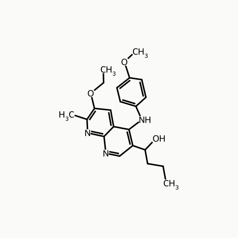 CCCC(O)c1cnc2nc(C)c(OCC)cc2c1Nc1ccc(OC)cc1